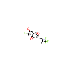 C/C(=C\C[C@H]1O[C@@H]1C1CC(=O)[C@@H](F)C[C@]12CO2)C(F)(F)F